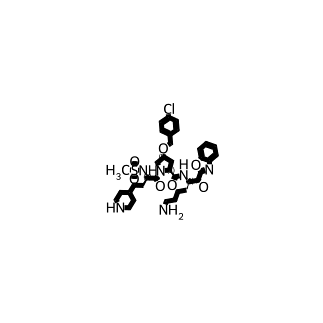 CS(=O)(=O)N[C@H](CCC1CCNCC1)C(=O)N1C[C@H](OCc2ccc(Cl)cc2)C[C@H]1C(=O)N[C@@H](CCCCN)C(=O)c1nc2ccccc2o1